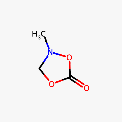 CN1COC(=O)O1